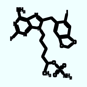 CC(CCCCn1c(Cc2cc3c(cc2I)OCO3)nc2c(N)nc(F)nc21)OS(N)(=O)=O